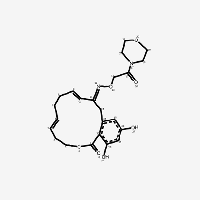 O=C1OCC/C=C/CC/C=C/C(=NOCC(=O)N2CCOCC2)Cc2cc(O)cc(O)c21